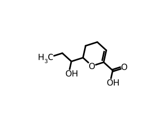 CCC(O)C1CCC=C(C(=O)O)O1